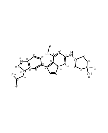 COc1nc(N[C@H]2CC[C@](C)(O)CC2)nn2ccc(-c3ccc4nnn(CC(F)F)c4c3)c12